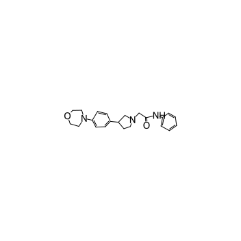 O=C(CN1CCC(c2ccc(N3CCOCC3)cc2)C1)Nc1ccccc1